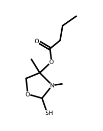 CCCC(=O)OC1(C)COC(S)N1C